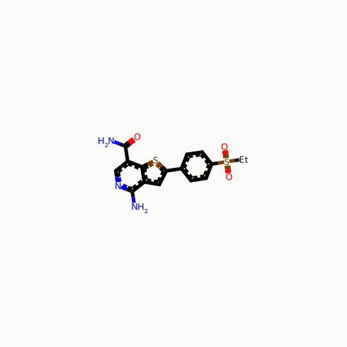 CCS(=O)(=O)c1ccc(-c2cc3c(N)ncc(C(N)=O)c3s2)cc1